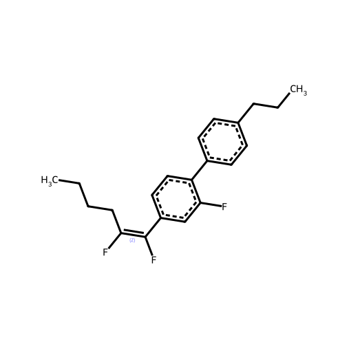 CCCC/C(F)=C(/F)c1ccc(-c2ccc(CCC)cc2)c(F)c1